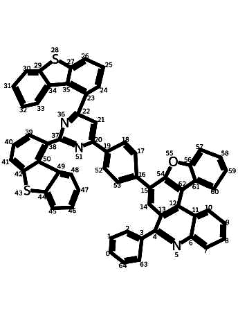 c1ccc(-c2nc3ccccc3c3c2cc(-c2ccc(-c4cc(-c5cccc6sc7ccccc7c56)nc(-c5cccc6sc7ccccc7c56)n4)cc2)c2oc4ccccc4c23)cc1